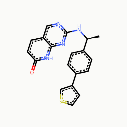 C[C@H](Nc1ncc2ccc(=O)[nH]c2n1)c1ccc(-c2ccsc2)cc1